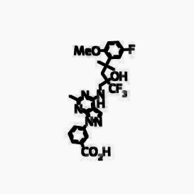 COc1ccc(F)cc1C(C)(C)CC(O)(CNc1nc(C)nc2c1cnn2-c1cccc(C(=O)O)c1)C(F)(F)F